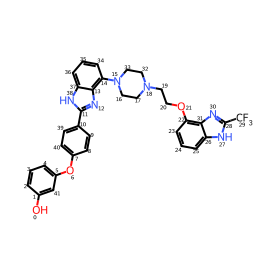 Oc1cccc(Oc2ccc(-c3nc4c(N5CCN(CCOc6cccc7[nH]c(C(F)(F)F)nc67)CC5)cccc4[nH]3)cc2)c1